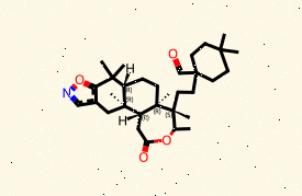 CC1OC(=O)C[C@@H]2[C@@]3(C)Cc4cnoc4C(C)(C)[C@@H]3CC[C@@]2(C)[C@]1(C)CCC1(C=O)CCC(C)(C)CC1